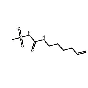 C=CCCCCNC(=O)NS(C)(=O)=O